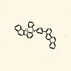 c1ccc(N(c2ccc(-c3cccc4c3ccc3c5ccccc5ccc43)cc2)c2cccc3c2oc2c4ccccc4ccc32)cc1